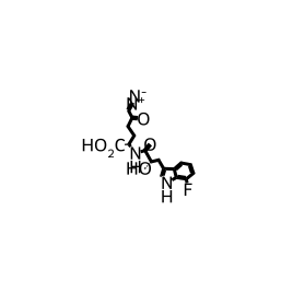 [N-]=[N+]=CC(=O)CC[C@H](NC(=O)[C@@H](O)Cc1c[nH]c2c(F)cccc12)C(=O)O